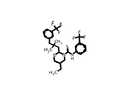 CCC1CSC(CC(C)(C)Cc2cccc(C(F)(F)F)c2)N(C(=S)Nc2cccc(C(F)(F)F)c2)C1